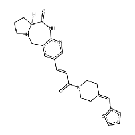 O=C1Nc2ncc(/C=C/C(=O)N3CCC(=Cc4cccs4)CC3)cc2CN2CCC[C@@H]12